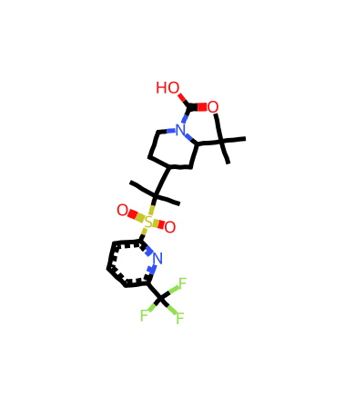 CC(C)(C)C1CC(C(C)(C)S(=O)(=O)c2cccc(C(F)(F)F)n2)CCN1C(=O)O